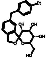 CCc1ccc(Cc2ccc3c(c2)[C@@]2(OC3)O[C@H](CO)[C@@H](O)[C@H](O)[C@H]2O)cc1